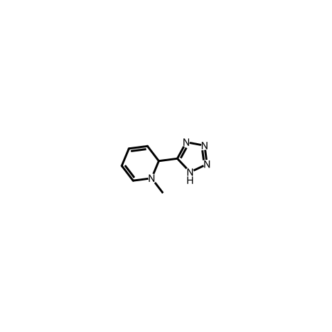 CN1C=CC=CC1c1nnn[nH]1